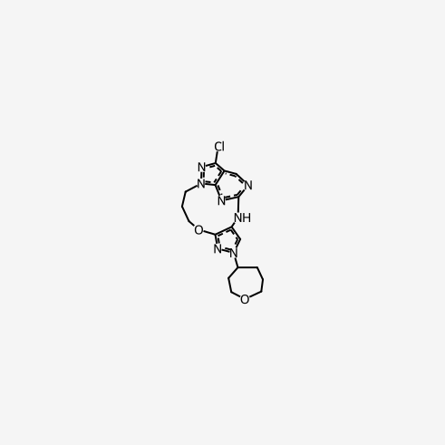 Clc1nn2c3nc(ncc13)Nc1cn(C3CCCOCC3)nc1OCCC2